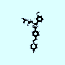 COc1cccc(-c2nc(-c3ccc(CCN4CCC(F)CC4)cc3)nn2CC(=O)NC(C)C)c1